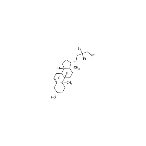 CCC(CC)(CC[C@H]1CC[C@H]2[C@@H]3CC=C4C[C@@H](O)CC[C@]4(C)[C@H]3CC[C@]12C)CC(C)C